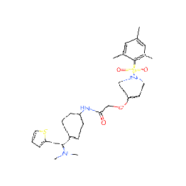 Cc1cc(C)c(S(=O)(=O)N2CCC(OCC(=O)NC3CCC(C(c4cccs4)N(C)C)CC3)C2)c(C)c1